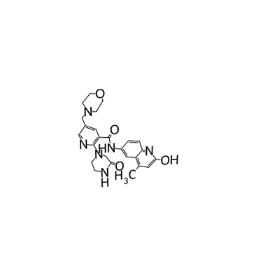 Cc1cc(O)nc2ccc(NC(=O)c3cc(CN4CCOCC4)cnc3N3CCNC(=O)C3)cc12